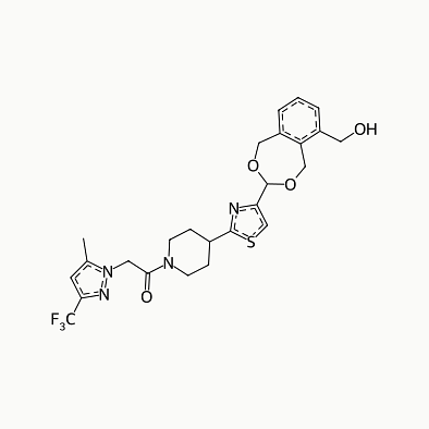 Cc1cc(C(F)(F)F)nn1CC(=O)N1CCC(c2nc(C3OCc4cccc(CO)c4CO3)cs2)CC1